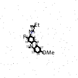 CCN(C)/C=N/c1cc(C)c(N(C)c2ccc(OC)cc2)cc1F